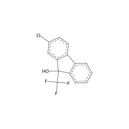 OC1(C(F)(F)F)c2ccccc2-c2ccc(Cl)cc21